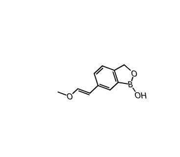 COC=Cc1ccc2c(c1)B(O)OC2